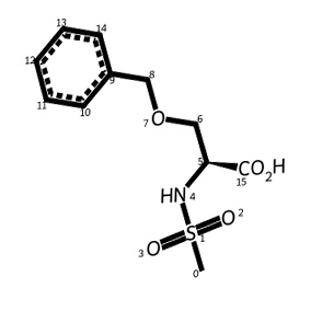 CS(=O)(=O)N[C@@H](COCc1ccccc1)C(=O)O